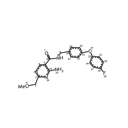 COCc1ccc(C(=O)NCc2ccc(Oc3ccc(F)cc3)cc2)c(N)n1